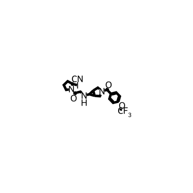 N#C[C@@]1(I)CCCN1C(=O)CNC1C2CN(C(=O)c3ccc(OC(F)(F)F)cc3)CC21